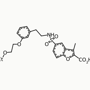 CCOCCOc1cccc(CCNS(=O)(=O)c2ccc3oc(C(=O)O)c(C)c3c2)c1